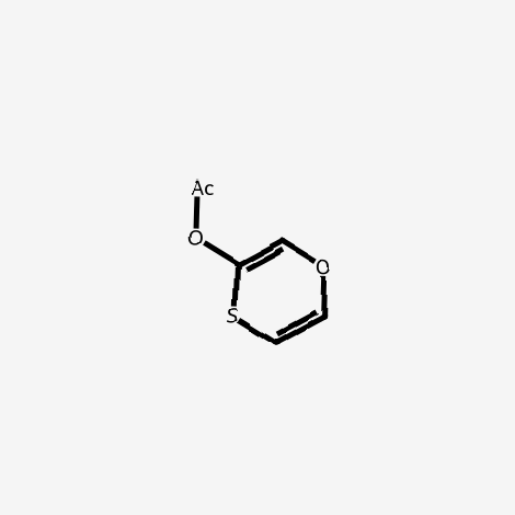 CC(=O)OC1=COC=CS1